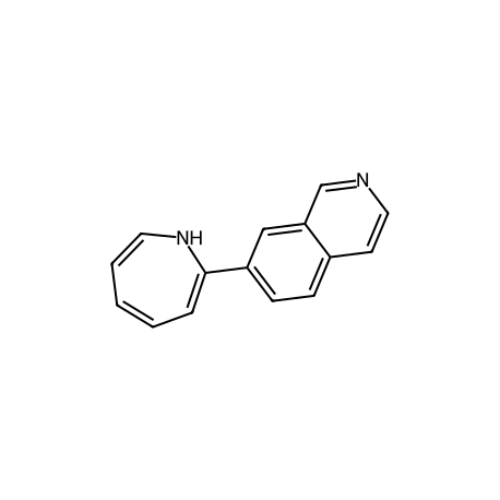 C1=CC=C(c2ccc3ccncc3c2)NC=C1